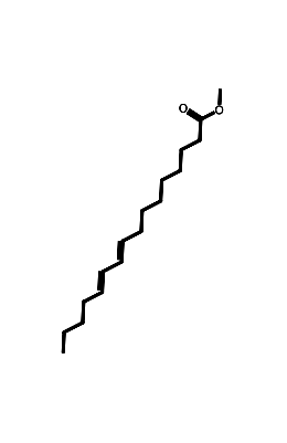 CCCCC=CC=CCCCCCCCC(=O)OC